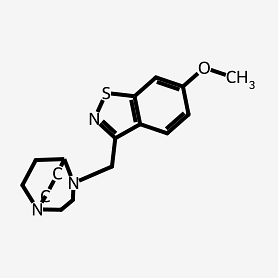 COc1ccc2c(CN3CCN4CCC3CC4)nsc2c1